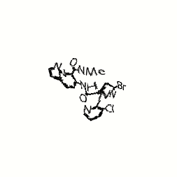 CNC(=O)c1c(NC(=O)c2cc(Br)nn2-c2ncccc2Cl)ccc2ccnn12